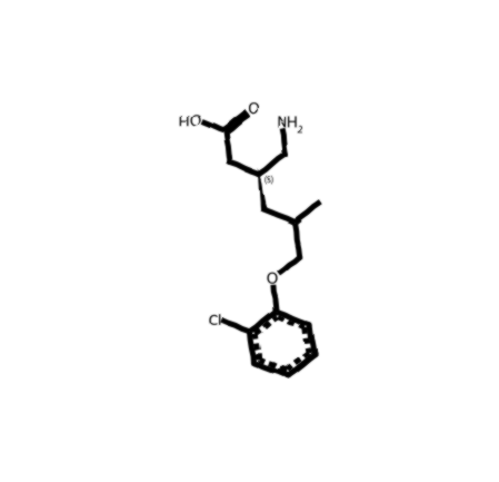 CC(COc1ccccc1Cl)C[C@H](CN)CC(=O)O